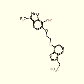 CCCc1c(OCCOc2cccc3c2ccn3CC(=O)O)ccc2c(C(F)(F)F)noc12